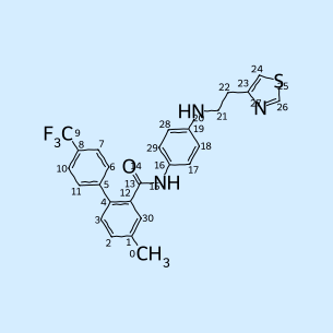 Cc1ccc(-c2ccc(C(F)(F)F)cc2)c(C(=O)Nc2ccc(NCCc3cscn3)cc2)c1